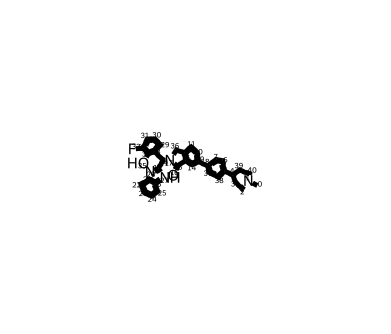 CN1CCC(c2ccc(-c3ccc4c(c3)C(=O)N(C(c3nc5ccccc5[nH]3)c3cccc(F)c3O)C4)cc2)CC1